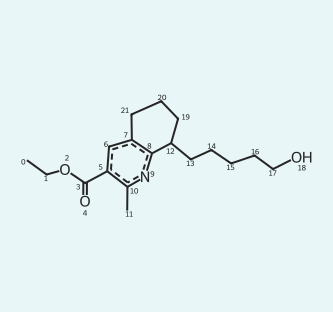 CCOC(=O)c1cc2c(nc1C)C(CCCCCO)CCC2